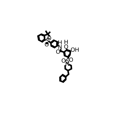 CC(C)(C)c1ccccc1S(=O)(=O)c1ccc(NC(=O)c2cc(S(=O)(=O)N3CCC(Cc4ccccc4)CC3)cc(O)c2O)cc1